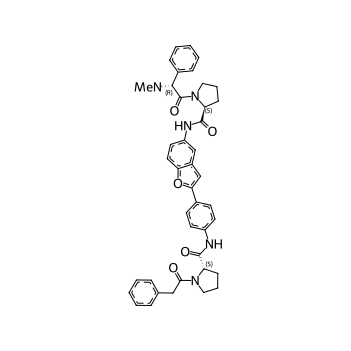 CN[C@@H](C(=O)N1CCC[C@H]1C(=O)Nc1ccc2oc(-c3ccc(NC(=O)[C@@H]4CCCN4C(=O)Cc4ccccc4)cc3)cc2c1)c1ccccc1